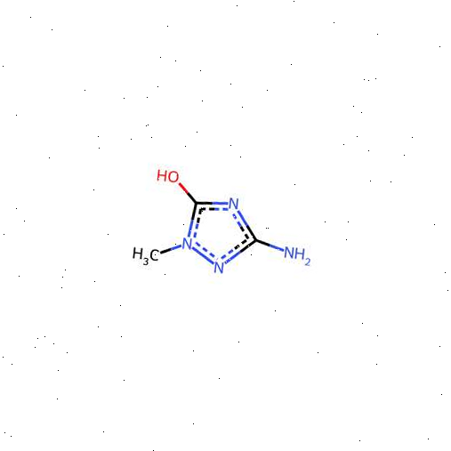 Cn1nc(N)nc1O